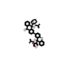 C=C(C)COC1(C2CC3CCC2O3)c2ccccc2C(=O)c2ccc(-c3ccc4c(c3)C(OC(=O)C(=C)C)(c3ccoc3)c3ccccc3O4)cc21